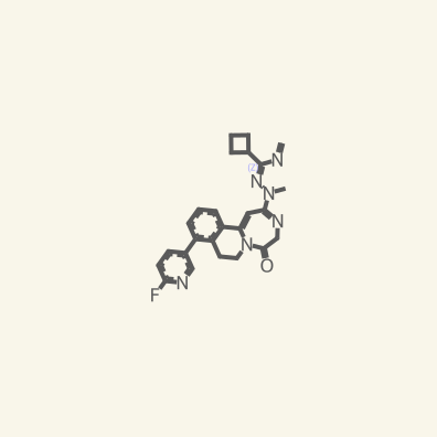 C=N/C(=N\N(C)C1=NCC(=O)N2CCc3c(cccc3-c3ccc(F)nc3)C2=C1)C1CCC1